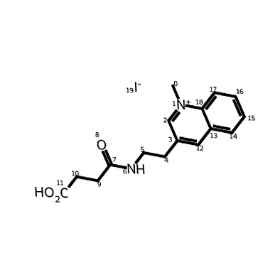 C[n+]1cc(CCNC(=O)CCC(=O)O)cc2ccccc21.[I-]